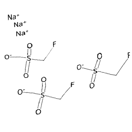 O=S(=O)([O-])CF.O=S(=O)([O-])CF.O=S(=O)([O-])CF.[Na+].[Na+].[Na+]